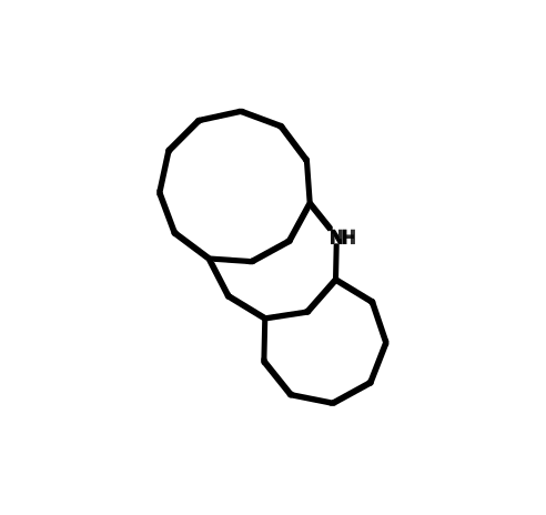 C1CCCC2CCC(CCC1)NC1CCCCCCC(C2)C1